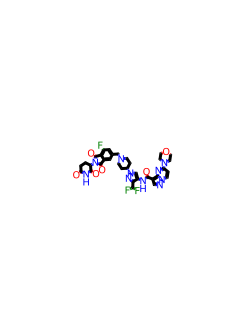 O=C1CCC(N2C(=O)c3cc(CN4CCC(n5cc(NC(=O)c6cnn7ccc(N8CCOCC8)nc67)c(C(F)F)n5)CC4)cc(F)c3C2=O)C(=O)N1